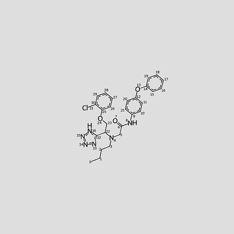 CCCCN(CC(=O)Nc1ccc(Oc2ccccc2)cc1)C(COc1ccccc1Cl)c1nnn[nH]1